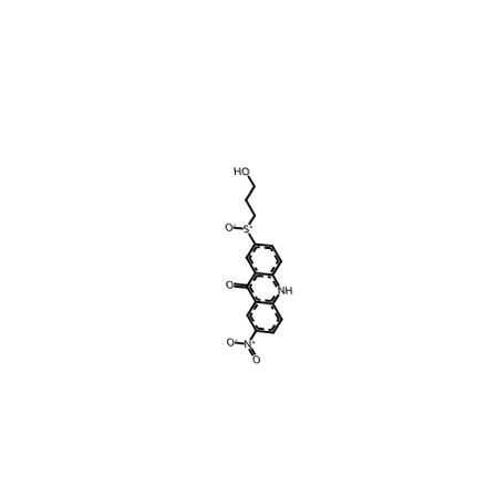 O=c1c2cc([N+](=O)[O-])ccc2[nH]c2ccc([S+]([O-])CCCO)cc12